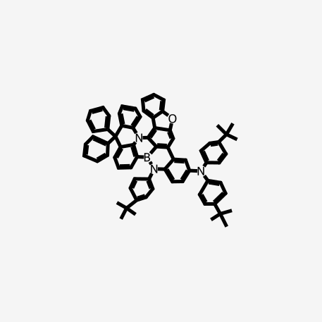 CC(C)(C)c1ccc(N2B3c4cccc5c4N(c4ccccc4C5(c4ccccc4)c4ccccc4)c4c3c(cc3oc5ccccc5c43)-c3cc(N(c4ccc(C(C)(C)C)cc4)c4ccc(C(C)(C)C)cc4)ccc32)cc1